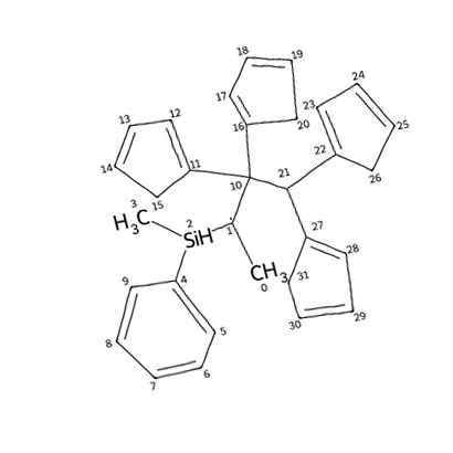 C[C]([SiH](C)c1ccccc1)C(C1=CC=CC1)(C1=CC=CC1)C(C1=CC=CC1)C1=CC=CC1